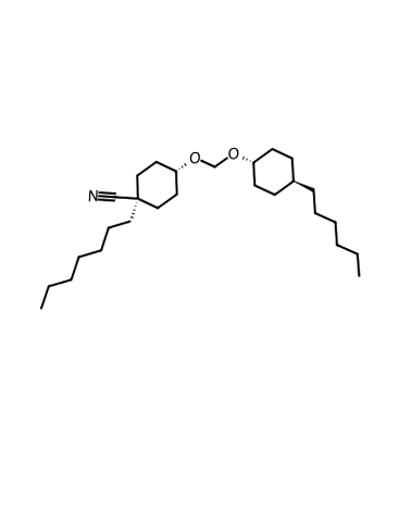 CCCCCCC[C@]1(C#N)CC[C@H](OCO[C@H]2CC[C@H](CCCCCC)CC2)CC1